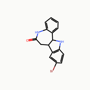 O=C1CC2c3cc(Br)ccc3NC2c2ccccc2N1